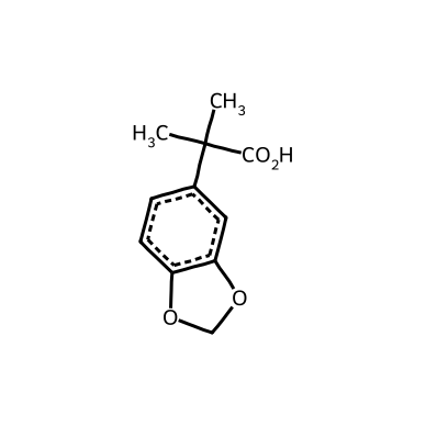 CC(C)(C(=O)O)c1ccc2c(c1)OCO2